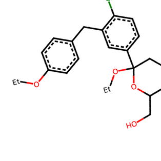 CCOc1ccc(Cc2cc(C3(OCC)CCCC(CO)O3)ccc2Cl)cc1